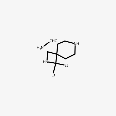 CCC1(CC)NCC12CCNCC2.NC=O